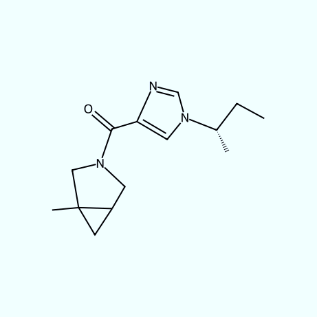 CC[C@H](C)n1cnc(C(=O)N2CC3CC3(C)C2)c1